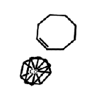 C1=CCCCCCC1.[CH]12[CH]3[CH]4[CH]5[CH]1[Co]23451678[CH]2[CH]1[CH]6[CH]7[CH]28